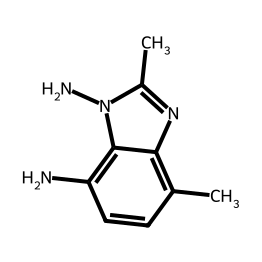 Cc1ccc(N)c2c1nc(C)n2N